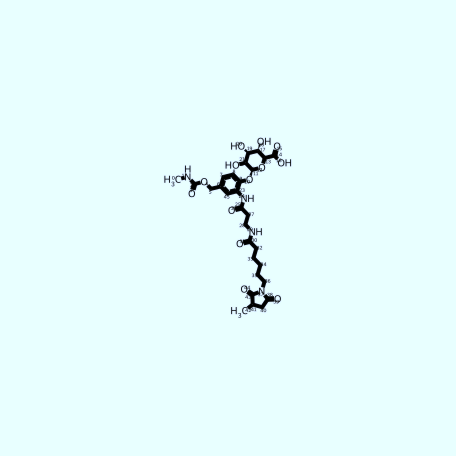 CNC(=O)OCc1ccc(O[C@@H]2OC(C(=O)O)[C@@H](O)[C@H](O)C2O)c(NC(=O)CCNC(=O)CCCCCN2C(=O)CC(C)C2=O)c1